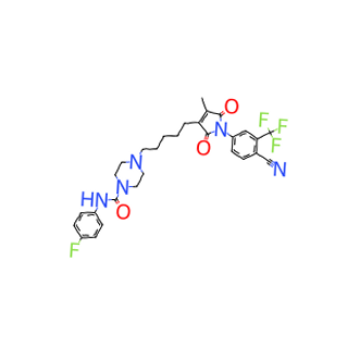 CC1=C(CCCCCN2CCN(C(=O)Nc3ccc(F)cc3)CC2)C(=O)N(c2ccc(C#N)c(C(F)(F)F)c2)C1=O